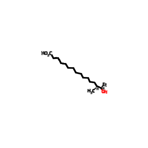 CC[C@H](O)[C@H](C)CCCCCCCCCCCCC(=O)O